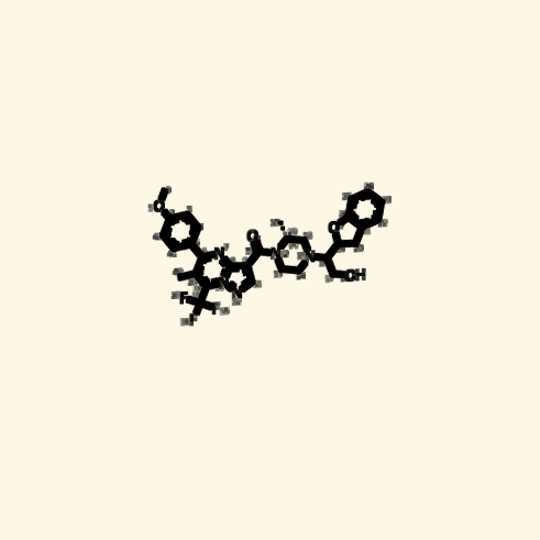 COc1ccc(-c2nc3c(C(=O)N4CCN(C(CO)C5Cc6ccccc6O5)C[C@H]4C)cnn3c(C(F)(F)F)c2C)cc1